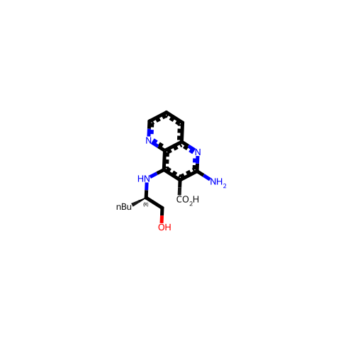 CCCC[C@H](CO)Nc1c(C(=O)O)c(N)nc2cccnc12